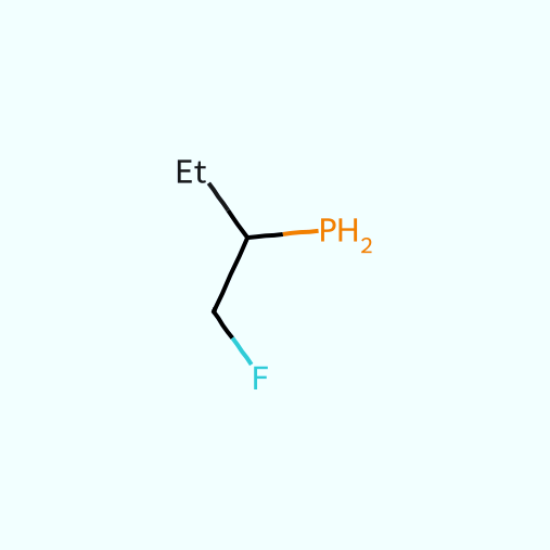 CCC(P)CF